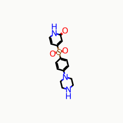 O=c1cc(S(=O)(=O)c2ccc(N3CCNCC3)cc2)cc[nH]1